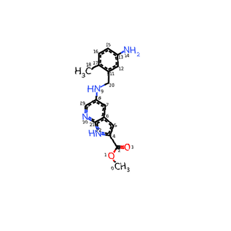 COC(=O)c1cc2cc(NCc3cc(N)ccc3C)cnc2[nH]1